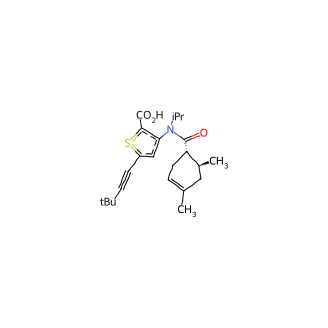 CC1=CC[C@H](C(=O)N(c2cc(C#CC(C)(C)C)sc2C(=O)O)C(C)C)[C@@H](C)C1